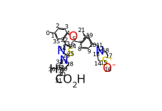 Cc1ccc(OCc2ccc(CN3CC[S+]([O-])CC3)cc2C)c(-c2csc(N3CC4C(C(=O)O)[C@H]4C3)n2)c1